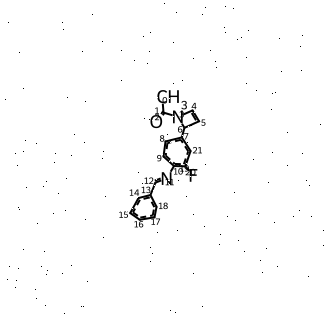 CC(=O)N1C=CC1c1ccc(/N=C/c2ccccc2)c(F)c1